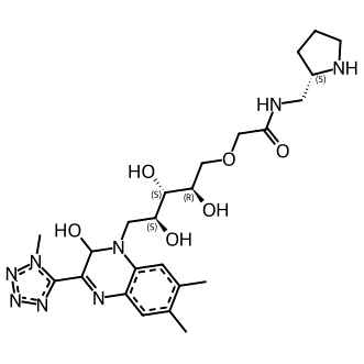 Cc1cc2c(cc1C)N(C[C@H](O)[C@H](O)[C@H](O)COCC(=O)NC[C@@H]1CCCN1)C(O)C(c1nnnn1C)=N2